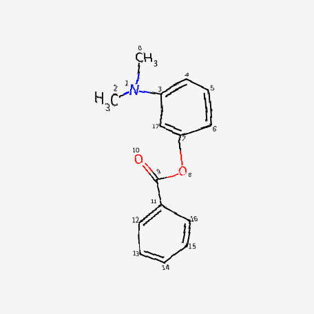 CN(C)c1cccc(OC(=O)c2ccccc2)c1